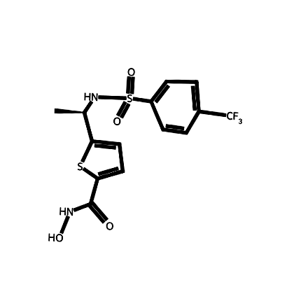 C[C@@H](NS(=O)(=O)c1ccc(C(F)(F)F)cc1)c1ccc(C(=O)NO)s1